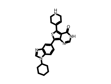 O=c1[nH]cnc2c(-c3ccc4c(c3)ncn4C3CCCCC3)sc(C3=CCNCC3)c12